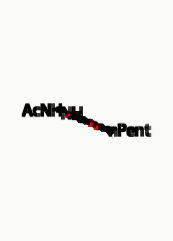 CCCCCC=CCC=CCC=CCC=CCCCCNCCNC(C)=O